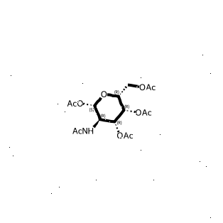 CC(=O)N[C@H]1[C@H](OC(C)=O)O[C@H](COC(C)=O)[C@H](OC(C)=O)[C@@H]1OC(C)=O